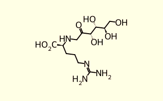 NC(N)=NCCC[C@H](NCC(=O)[C@@H](O)[C@H](O)[C@H](O)CO)C(=O)O